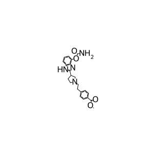 COC(=O)c1ccc(CCN2CCC(c3nc4c(OC(N)=O)cccc4[nH]3)C2)cc1